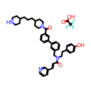 O=C(C=Cc1cccnc1)N(CCc1ccc(O)cc1)Cc1cccc(-c2cccc(C(=O)N3CCC(CCCC4CCNCC4)CC3)c2)c1.O=C(O)C(F)(F)F